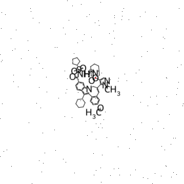 COc1ccc2c(c1)C=C(c1c(C(=O)N3C4CCC[C@@H]3COC4)cnn1C)Cn1c-2c(C2CCCCC2)c2ccc(C(=O)NS(=O)(=O)C3CCCC3)cc21